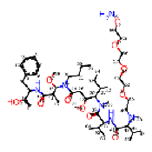 C=C(O)C(Cc1ccccc1)NC(=O)C(C)C(OC)N(CCCC)C(=O)CC(OC)C(C(C)CC)N(C)C(=O)[C@@H](NC(=O)C(C(C)C)N(C)CCOCCOCCOCCON)C(C)C